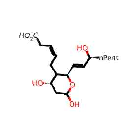 CCCCC[C@H](O)/C=C/[C@H]1OC(O)C[C@H](O)C1C/C=C\CC(=O)O